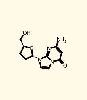 Nc1cc(=O)n2ccn([C@@H]3CC[C@@H](CO)O3)c2n1